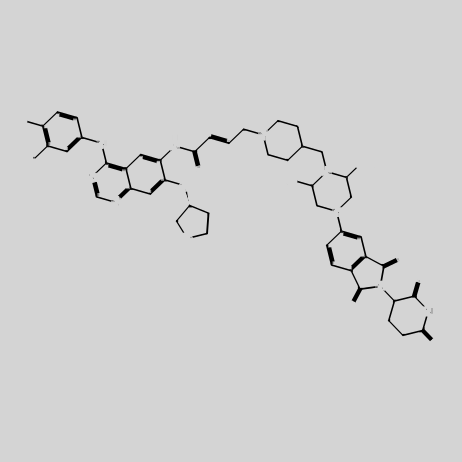 CC1CN(c2ccc3c(c2)C(=O)N(C2CCC(=O)NC2=O)C3=O)CC(C)N1CC1CCN(C/C=C/C(=O)Nc2cc3c(Nc4ccc(F)c(Cl)c4)ncnc3cc2O[C@H]2CCOC2)CC1